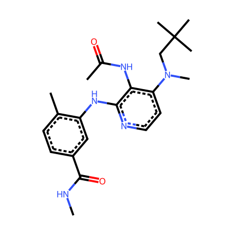 CNC(=O)c1ccc(C)c(Nc2nccc(N(C)CC(C)(C)C)c2NC(C)=O)c1